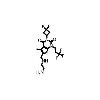 Cc1c(CNCCN)sc2c1c(=O)n(C1CC(F)(F)C1)c(=O)n2CCC(F)(F)F